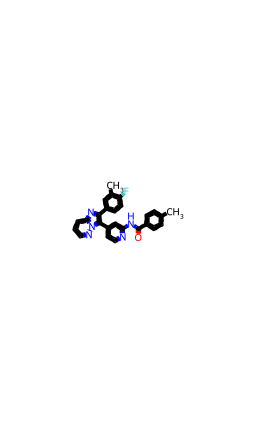 Cc1ccc(C(=O)Nc2cc(-c3c(-c4ccc(F)c(C)c4)nc4cccnn34)ccn2)cc1